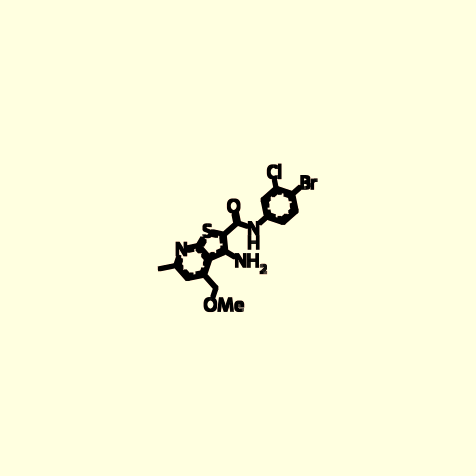 COCc1cc(C)nc2sc(C(=O)Nc3ccc(Br)c(Cl)c3)c(N)c12